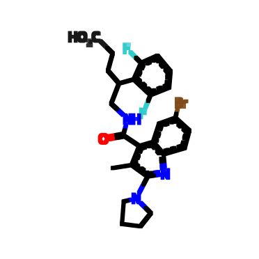 Cc1c(N2CCCC2)nc2ccc(Br)cc2c1C(=O)NCC(CCC(=O)O)c1c(F)cccc1F